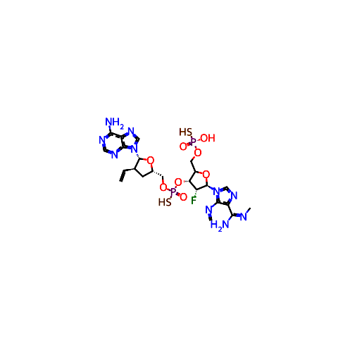 C=C[C@@H]1C[C@@H](COP(=O)(S)O[C@@H]2C(CO[P@](=O)(O)S)O[C@@H](n3cnc(/C(N)=N\C)c3N=C)[C@@H]2F)O[C@H]1n1cnc2c(N)ncnc21